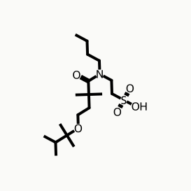 CCCCN(CCS(=O)(=O)O)C(=O)C(C)(C)CCOC(C)(C)C(C)C